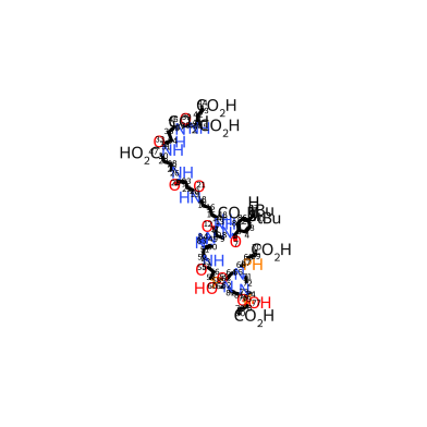 CC(C)(C)[SiH](c1ccc(C(=O)NCC(C(=O)NC(CCCCNC(=O)CCC(=O)NCCCC(NC(=O)CC[C@H](NC(=O)N[C@@H](CCC(=O)O)C(=O)O)C(=O)O)C(=O)O)C(=O)O)n2cc(CNC(=O)CCP(=O)(O)CN3CCN(CPCCC(=O)O)CCN(CP(=O)(O)CCC(=O)O)CC3)nn2)cc1)C(C)(C)C